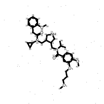 COCCCOc1cc(C(=O)N(CC2CNCC2CN(C(=O)Cc2ccccc2OC)C2CC2)C(C)C)ccc1OC